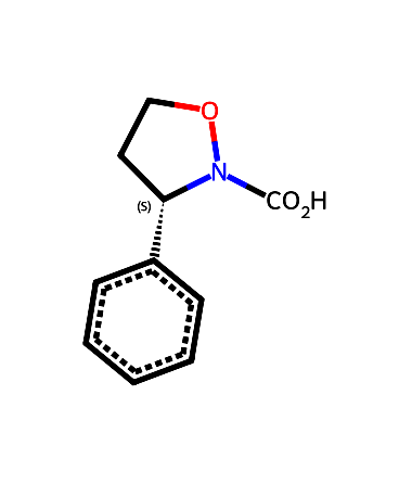 O=C(O)N1OCC[C@H]1c1ccccc1